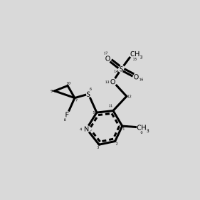 Cc1ccnc(SC2(F)CC2)c1COS(C)(=O)=O